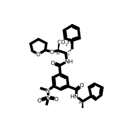 C[C@@H](NC(=O)c1cc(C(=O)N[C@@H](Cc2ccccc2)[C@@H](OC2CCCCO2)C(=O)O)cc(N(C)S(C)(=O)=O)c1)c1ccccc1